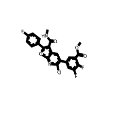 CNC(=O)c1c(-c2ccc(F)cc2)oc2nc(Cl)c(-c3cc(F)c(F)c(C(=O)OC)c3)cc12